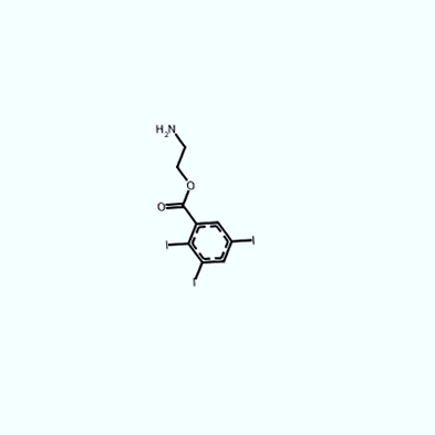 NCCOC(=O)c1cc(I)cc(I)c1I